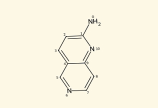 Nc1ccc2cnccc2n1